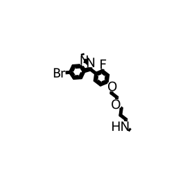 CNCCCOCCOc1ccc(-c2nn(C)c3cc(Br)ccc23)c(F)c1